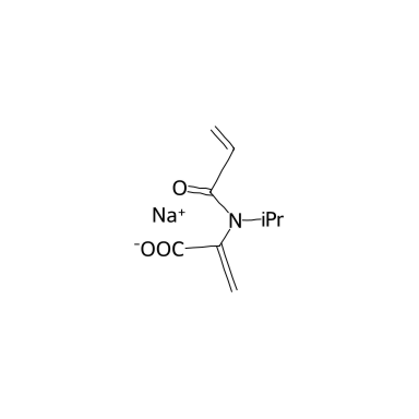 C=CC(=O)N(C(=C)C(=O)[O-])C(C)C.[Na+]